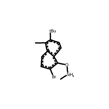 Cc1c(C(C)(C)C)ccc2c(O[SiH](C)C)c(Br)ccc12